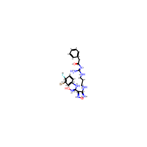 N/C(=N\C(=O)Cc1ccccc1)NCCCNc1nonc1/C(=N/O)Nc1ccc(F)c(Br)c1